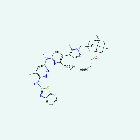 CNCCOC12CC3(Cn4ncc(-c5ccc(N(C)c6cc(C)c(Nc7nc8ccccc8s7)nn6)nc5C(=O)O)c4C)CC4(C)CC(C)(C1)C42C3